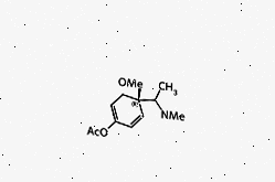 CNC(C)[C@]1(OC)C=CC(OC(C)=O)=CC1